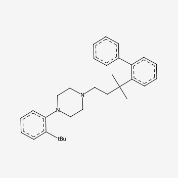 CC(C)(C)c1ccccc1N1CCN(CCC(C)(C)c2ccccc2-c2ccccc2)CC1